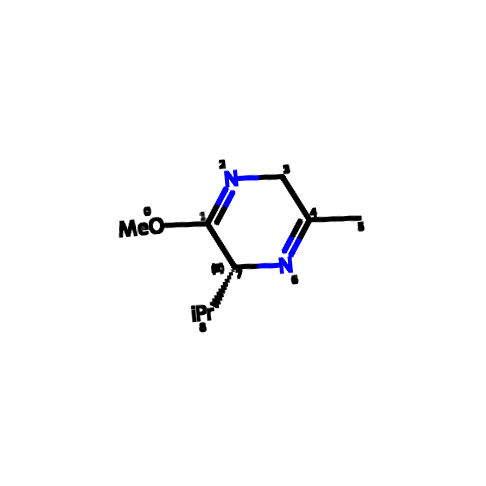 COC1=NCC(C)=N[C@@H]1C(C)C